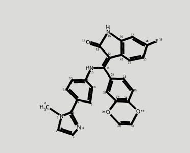 Cn1ccnc1-c1ccc(N/C(=C2\C(=O)Nc3cc(F)ccc32)c2ccc3c(c2)OC=CO3)cc1